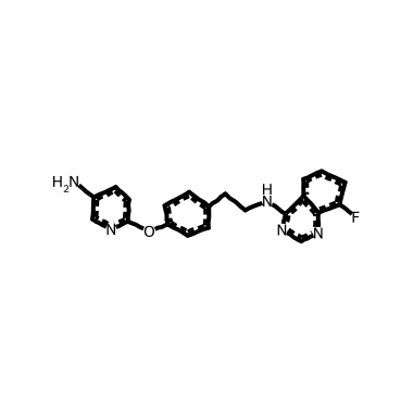 Nc1ccc(Oc2ccc(CCNc3ncnc4c(F)cccc34)cc2)nc1